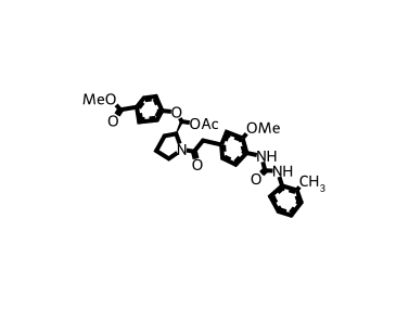 COC(=O)c1ccc(OC(OC(C)=O)[C@@H]2CCCN2C(=O)Cc2ccc(NC(=O)Nc3ccccc3C)c(OC)c2)cc1